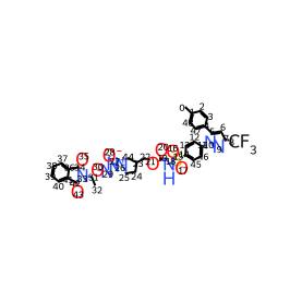 Cc1ccc(-c2cc(C(F)(F)F)nn2-c2ccc(S(=O)(=O)NC(=O)OCC3CCN([N+]([O-])=NOC(C)N4C(=O)c5ccccc5C4=O)C3)cc2)cc1